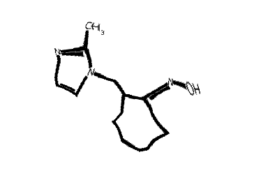 Cc1nccn1CC1CCCC/C1=N\O